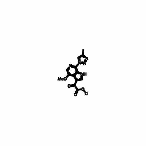 COc1cnc(-n2cc(C)nn2)c2[nH]cc(C(=O)C(=O)OCl)c12